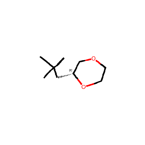 CC(C)(C)C[C@@H]1COCCO1